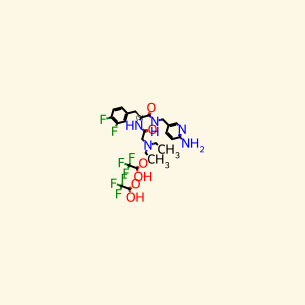 CCN(CC)CC(=O)N[C@@H](Cc1ccc(F)c(F)c1)C(=O)NCc1ccc(N)nc1.O=C(O)C(F)(F)F.O=C(O)C(F)(F)F